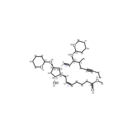 CCC#CCC(C)[C@@H](/C=C/[C@@H]1[C@@H](C/C=C\CCCC(=O)OC)[C@H](O)C[C@H]1OC1CCCCO1)OC1CCCCO1